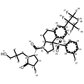 CC(C)(CO)CN1C(=O)[C@H](F)C[C@H]1C(=O)N1CCC2(S(=O)(=O)c3cccc(F)c3)c3ccc(C(F)(C(F)(F)F)C(F)(F)F)nc3CCC12